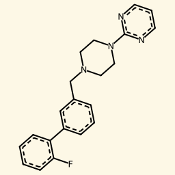 Fc1ccccc1-c1cccc(CN2CCN(c3ncccn3)CC2)c1